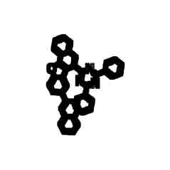 c1ccc(-c2nc(-c3ccccc3)nc(-c3cc4ccccc4c4oc5ccc(-c6ccc7ccccc7c6)cc5c34)n2)cc1